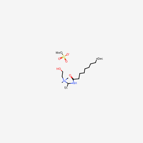 CCCCCCCCCCCCCCCCCC(=O)NC(CC)[N+](C)(C)CCO.COS(=O)(=O)[O-]